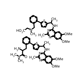 COc1cc2nc(C)nc(NC(C)c3ccc(-c4ccccc4CC(N)C(=O)N(C)C)s3)c2cc1OC.COc1cc2nc(C)nc(NC(C)c3ccc(-c4ccccc4CN(C)CC(=O)O)s3)c2cc1OC